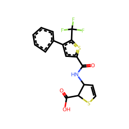 O=C(NC1C=CSC1C(=O)O)c1cc(-c2ccccc2)c(C(F)(F)F)s1